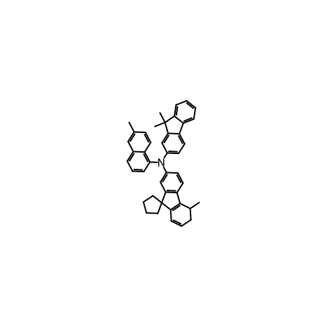 Cc1ccc2c(N(c3ccc4c(c3)C3(CCCC3)C3=C4C(C)CC=C3)c3ccc4c(c3)C(C)(C)c3ccccc3-4)cccc2c1